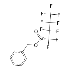 [O]=[Sn]([O]Cc1ccccc1)[C](F)(F)C(F)(F)C(F)(F)C(F)(F)F